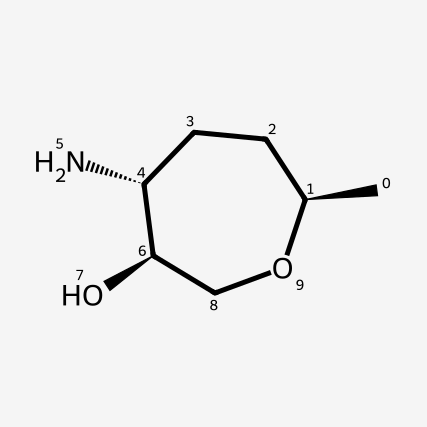 C[C@@H]1CC[C@@H](N)[C@H](O)CO1